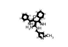 Cn1cc(CN/C(N)=C(C(=N)c2ccccc2)/C(Cl)=C(\N)c2ccccc2)cn1